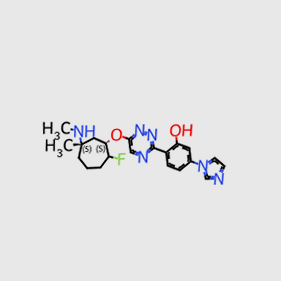 CN[C@@]1(C)CCCC(F)[C@@H](Oc2cnc(-c3ccc(-n4ccnc4)cc3O)nn2)C1